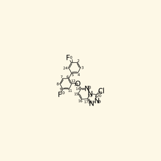 Fc1cccc(-c2ccc(F)cc2Oc2ccc3nnc(Cl)n3n2)c1